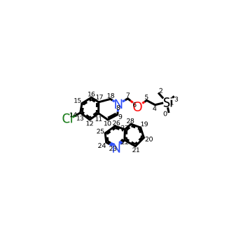 C[Si](C)(C)CCOCN1C=Cc2cc(Cl)ccc2C1.c1ccc2ncccc2c1